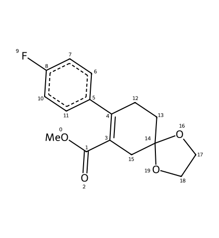 COC(=O)C1=C(c2ccc(F)cc2)CCC2(C1)OCCO2